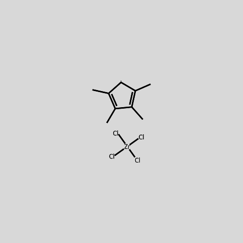 CC1=C(C)C(C)=C(C)[CH]1.[Cl][Zr]([Cl])([Cl])[Cl]